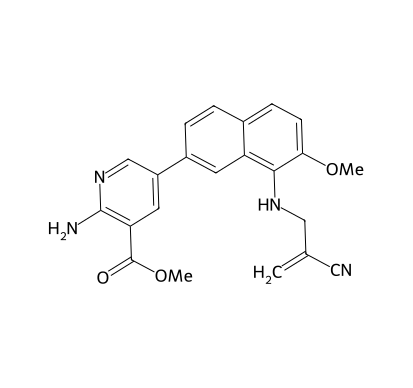 C=C(C#N)CNc1c(OC)ccc2ccc(-c3cnc(N)c(C(=O)OC)c3)cc12